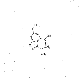 CCc1cc(C(=O)O)c2c(C(C)C)noc2n1